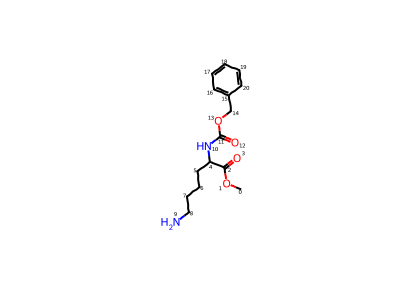 COC(=O)C(CCCCN)NC(=O)OCc1ccccc1